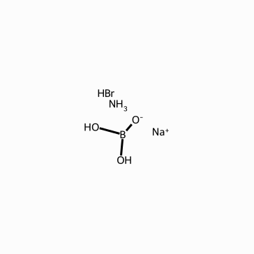 Br.N.[Na+].[O-]B(O)O